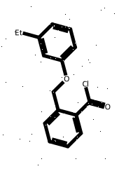 CCc1cccc(OCc2ccccc2C(=O)Cl)c1